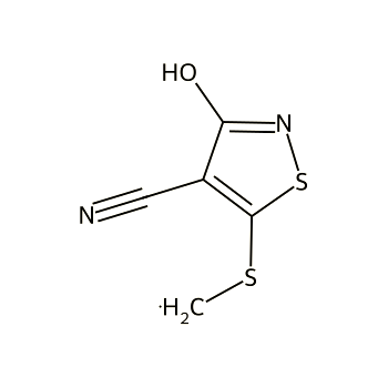 [CH2]Sc1snc(O)c1C#N